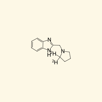 [2H]C1([2H])CCCN1Cc1nc2ccccc2[nH]1